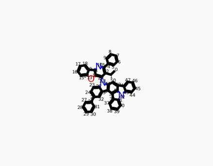 CCc1c(-c2ccccc2)nc2c(oc3ccccc32)c1-n1c2ccc(-c3ccccc3)cc2c2c3c4ccccc4n4c5ccccc5c(cc21)c34